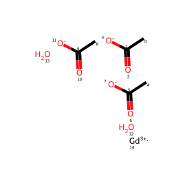 CC(=O)[O-].CC(=O)[O-].CC(=O)[O-].O.O.[Gd+3]